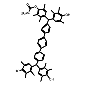 Cc1cc(C(c2ccc(-c3ccc(-c4ccc(C(c5cc(C)c(O)c(C)c5C)c5cc(C)c(OC(=O)OC(C)(C)C)c(C)c5C)cc4)cc3)cc2)c2cc(C)c(O)c(C)c2C)c(C)c(C)c1O